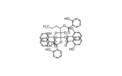 CCCC(OC(=O)c1ccccc1O)C(OC(=O)c1ccccc1O)(OC(=O)c1ccccc1O)C(OC(=O)c1ccccc1O)(OC(=O)c1ccccc1O)OC(=O)c1ccccc1O